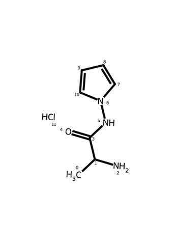 CC(N)C(=O)Nn1cccc1.Cl